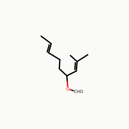 CC=CCCC(C=C(C)C)OC=O